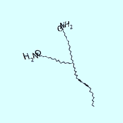 CCCCCCCCCC#CC#CCCCCCCCCC(CCCCCCCCCCCCCCCC(N)=O)CCCCCCCCCCCCCCCC(N)=O